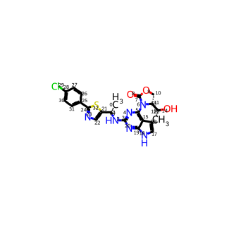 C[C@H](Nc1nc(N2C(=O)OC[C@@H]2[C@@H](C)O)c2cc[nH]c2n1)c1cnc(-c2ccc(Cl)cc2)s1